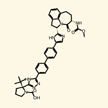 COC(=O)N[C@H]1CCc2cccc3c2N(C1=O)[C@H](c1ncc(-c2ccc(-c4ccc(-c5nnc([C@@]6(C(C)(C)C)CCCN6C(=O)O)[nH]5)cc4)cc2)[nH]1)C3